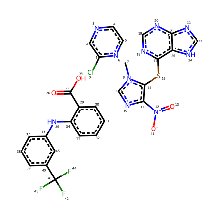 Clc1cnccn1.Cn1cnc([N+](=O)[O-])c1Sc1ncnc2nc[nH]c12.O=C(O)c1ccccc1Nc1cccc(C(F)(F)F)c1